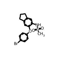 CS(=O)(=O)Nc1cc2c(cc1Oc1ccc(Br)cc1)CCC2